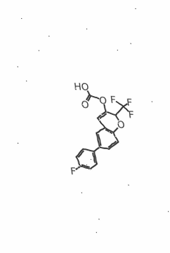 O=C(O)OC1=Cc2cc(-c3ccc(F)cc3)ccc2OC1C(F)(F)F